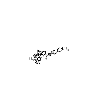 CN1CCN(C2CCN(C34CC(Nc5ncc(Br)c(Nc6ccc7nccnc7c6P(C)(C)=O)n5)(C3)C4)CC2)CC1